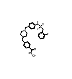 O=C(NO)c1ccc(CN2CCN(Cc3ccc(NS(=O)(=O)Cc4ccccc4F)cc3)CC2)cc1